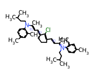 C/C(=C\C=C1/CCCC(/C=C/C(C)=[N+](\CCC(C)C)c2ccc(C)cc2C)=C1Cl)N(CCC(C)C)c1ccc(C)cc1C